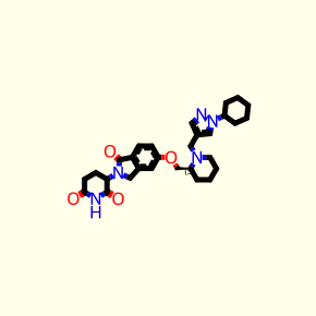 O=C1CCC(N2Cc3cc(OC[C@@H]4CCCCN4Cc4cnn(C5CCCCC5)c4)ccc3C2=O)C(=O)N1